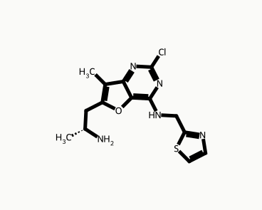 Cc1c(C[C@@H](C)N)oc2c(NCc3nccs3)nc(Cl)nc12